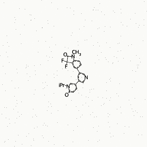 CC(C)n1cc(-c2cncc(-c3ccc4c(c3)C(F)(F)C(=O)N4C)c2)ccc1=O